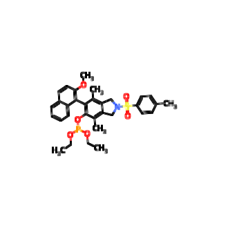 CCOP(OCC)Oc1c(C)c2c(c(C)c1-c1c(OC)ccc3ccccc13)CN(S(=O)(=O)c1ccc(C)cc1)C2